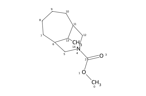 COC(=O)N1CC2CCCCC(C1)C2C